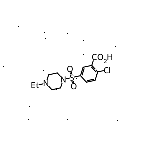 CCN1CCN(S(=O)(=O)c2ccc(Cl)c(C(=O)O)c2)CC1